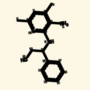 Cc1cc(C)c(N)c(NC(CO)c2ccccc2)n1